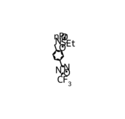 CCCN(Cc1ccc(-c2noc(C(F)(F)F)n2)cc1)S(=O)(=O)CC